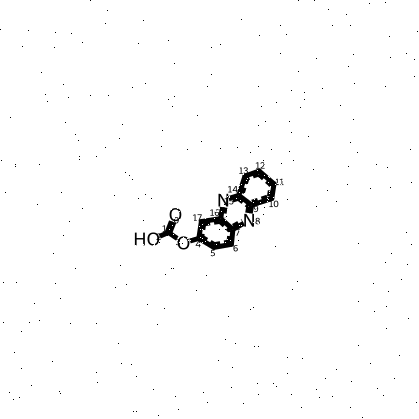 O=C(O)Oc1ccc2nc3ccccc3nc2c1